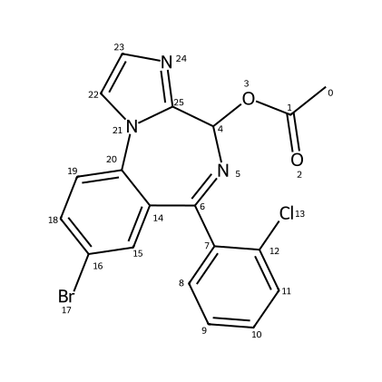 CC(=O)OC1N=C(c2ccccc2Cl)c2cc(Br)ccc2-n2ccnc21